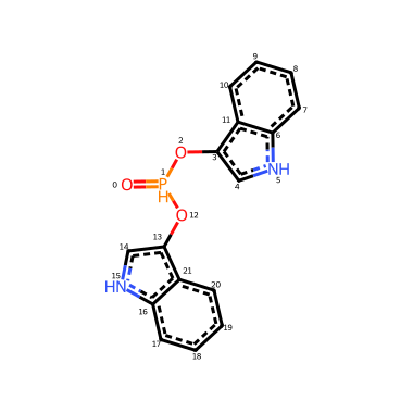 O=[PH](Oc1c[nH]c2ccccc12)Oc1c[nH]c2ccccc12